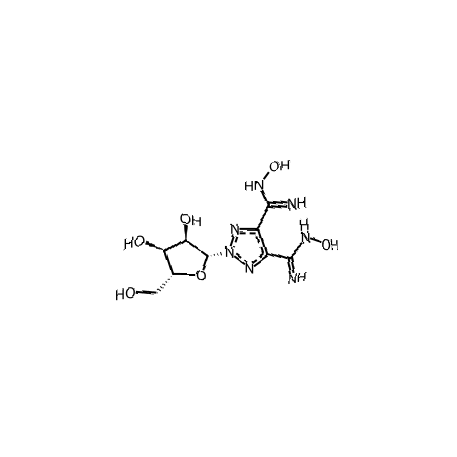 N=C(NO)c1nn([C@@H]2O[C@H](CO)[C@@H](O)[C@H]2O)nc1C(=N)NO